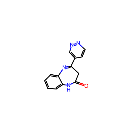 O=C1CC(c2ccnnc2)=Nc2ccccc2N1